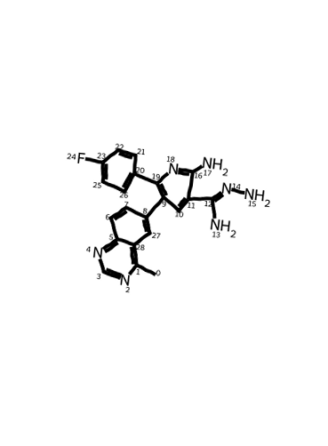 Cc1ncnc2ccc(-c3cc(/C(N)=N/N)c(N)nc3-c3ccc(F)cc3)cc12